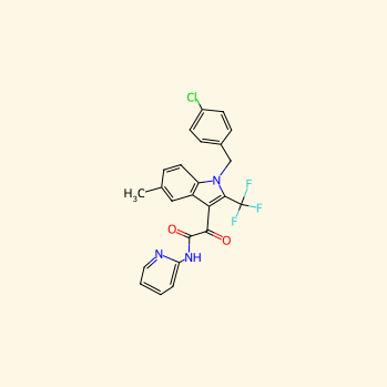 Cc1ccc2c(c1)c(C(=O)C(=O)Nc1ccccn1)c(C(F)(F)F)n2Cc1ccc(Cl)cc1